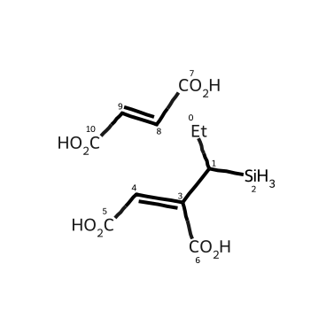 CCC([SiH3])C(=CC(=O)O)C(=O)O.O=C(O)C=CC(=O)O